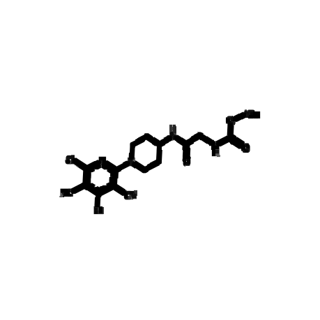 CCc1c(C#N)c(Cl)nc(N2CCC(NC(=O)CNC(=O)OC(C)(C)C)CC2)c1C#N